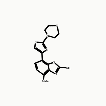 COc1ccc(-c2csc(N3CCOCC3)n2)c2sc(N)nc12